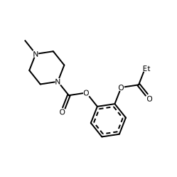 CCC(=O)Oc1ccccc1OC(=O)N1CCN(C)CC1